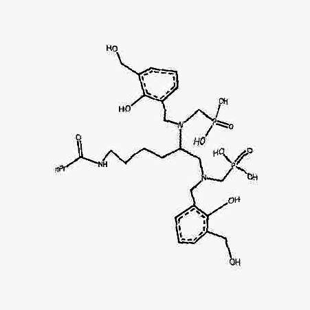 CCCC(=O)NCCCCC(CN(Cc1cccc(CO)c1O)CP(=O)(O)O)N(Cc1cccc(CO)c1O)CP(=O)(O)O